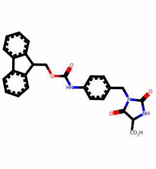 O=C(Nc1ccc(CN2C(=O)NC(C(=O)O)C2=O)cc1)OCC1c2ccccc2-c2ccccc21